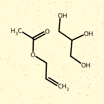 C=CCOC(C)=O.OCC(O)CO